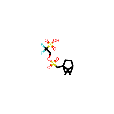 CC1(C)C2CCC1(CS(=O)(=O)OCC(F)(F)S(=O)(=O)O)CC2